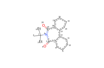 CCC(C)(CC)n1c(=O)c2ccccc2c2ccccc2c1=O